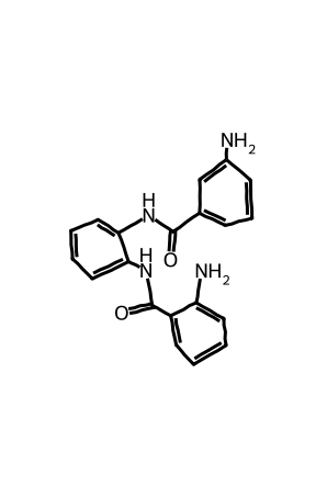 Nc1cccc(C(=O)Nc2ccccc2NC(=O)c2ccccc2N)c1